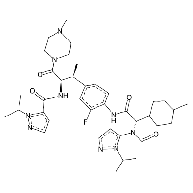 CC1CCC([C@@H](C(=O)Nc2ccc([C@H](C)[C@@H](NC(=O)c3ccnn3C(C)C)C(=O)N3CCN(C)CC3)cc2F)N(C=O)c2ccnn2C(C)C)CC1